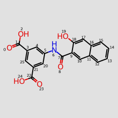 O=C(O)c1cc(NC(=O)c2cc3ccccc3cc2O)cc(C(=O)O)c1